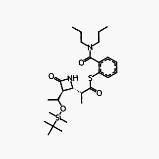 CCCN(CCC)C(=O)c1ccccc1SC(=O)C(C)[C@H]1NC(=O)[C@@H]1C(C)O[Si](C)(C)C(C)(C)C